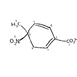 CC1([N+](=O)[O-])C=CC(C(=O)O)=CC1